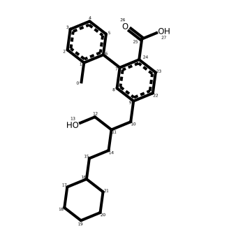 Cc1ccccc1-c1cc(CC(CO)CCC2CCCCC2)ccc1C(=O)O